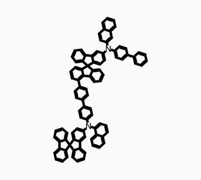 c1ccc(-c2ccc(N(c3ccc4c(c3)-c3ccccc3C43c4ccccc4-c4c(-c5ccc(-c6ccc(N(c7ccc8c(c7)-c7ccccc7C87c8ccccc8-c8ccccc87)c7cccc8ccccc78)cc6)cc5)cccc43)c3ccc4ccccc4c3)cc2)cc1